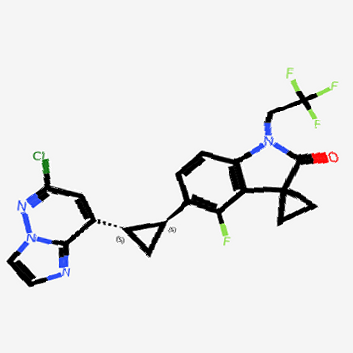 O=C1N(CC(F)(F)F)c2ccc([C@H]3C[C@@H]3c3cc(Cl)nn4ccnc34)c(F)c2C12CC2